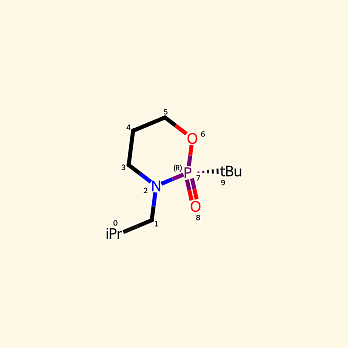 CC(C)CN1CCCO[P@]1(=O)C(C)(C)C